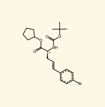 CC(C)(C)OC(=O)N[C@@H](CC=Cc1ccc(Br)cc1)C(=O)OC1CCCC1